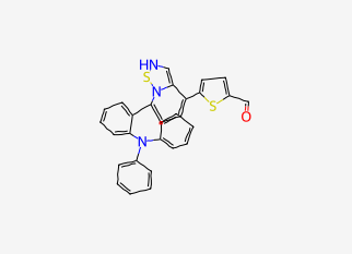 O=Cc1ccc(C2=CC=C(c3ccccc3N(c3ccccc3)c3ccccc3)N3SNC=C23)s1